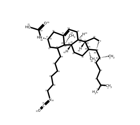 CC(C)CCC[C@@H](C)[C@H]1CC[C@H]2[C@@H]3CC=C4C[C@@H](NC(=O)O)CC(CCCCCCN=C=O)[C@]4(C)[C@H]3CC[C@]12C